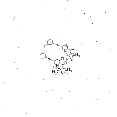 CN(C(=O)c1ncc(C#Cc2cccc(F)c2)cn1)C1(C(F)(F)F)CC1.CN(C(=O)c1ncc(C#Cc2ccccc2)cc1Cl)C(C)(C)C